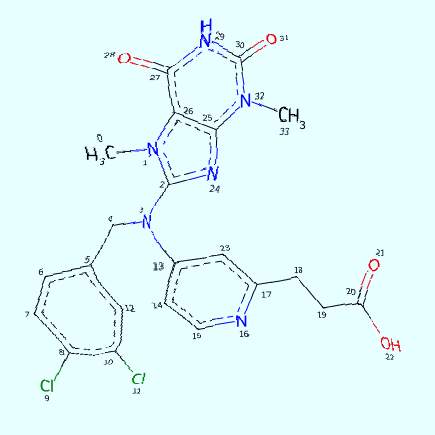 Cn1c(N(Cc2ccc(Cl)c(Cl)c2)c2ccnc(CCC(=O)O)c2)nc2c1c(=O)[nH]c(=O)n2C